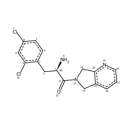 N[C@H](Cc1ccc(Cl)cc1Cl)C(=O)N1Cc2cccnc2C1